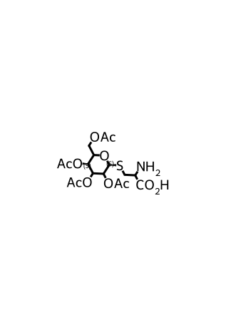 CC(=O)OCC1O[C@@H](SCC(N)C(=O)O)C(OC(C)=O)C(OC(C)=O)[C@H]1OC(C)=O